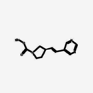 CC(C)(C)OC(=O)N1CC[C@H](C=Cc2cncnc2)C1